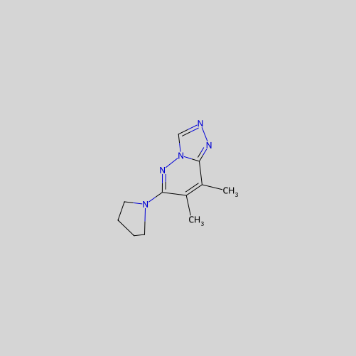 Cc1c(N2CCCC2)nn2cnnc2c1C